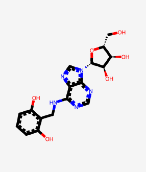 OC[C@H]1O[C@@H](n2cnc3c(NCc4c(O)cccc4O)ncnc32)[C@H](O)[C@@H]1O